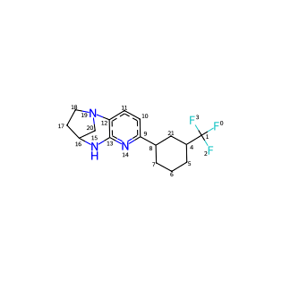 FC(F)(F)C1CCCC(c2ccc3c(n2)NC2CCN3C2)C1